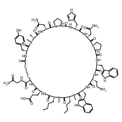 CCCC[C@H]1C(=O)N(C)[C@@H](CCCC)C(=O)N[C@@H](CCC(=O)O)C(=O)NC(C(=O)NCC(N)=O)CSCC(=O)N[C@@H](Cc2ccc(O)cc2)C(=O)N(C)[C@@H](C)C(=O)N[C@@H](CC(N)=O)C(=O)N2CCC[C@H]2C(=O)N[C@@H](Cc2c[nH]cn2)C(=O)N[C@@H](CC(N)=O)C(=O)N2CCC[C@H]2C(=O)N[C@@H](Cc2c[nH]c3ccccc23)C(=O)N[C@@H](CCN)C(=O)N[C@@H](Cc2c[nH]c3ccccc23)C(=O)N1C